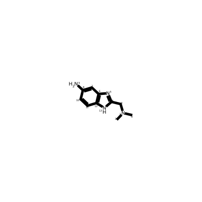 CN(C)Cc1nc2cc(N)ccc2[nH]1